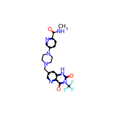 CNC(=O)c1ccc(N2CCN(Cc3cnc4c(=O)n(C(F)(F)F)c(=O)[nH]c4c3)CC2)cn1